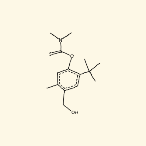 Cc1cc(OC(=S)N(C)C)c(C(C)(C)C)cc1CO